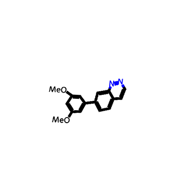 COc1cc(OC)cc(-c2ccc3ccnnc3c2)c1